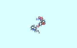 Cc1cc(COc2ccc(C3(CC(=O)NO)CCCS3(=O)=O)cc2)c2ccccc2n1